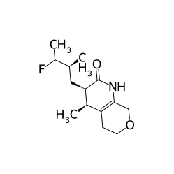 CC(F)[C@@H](C)C[C@H]1C(=O)NC2=C(CCOC2)[C@H]1C